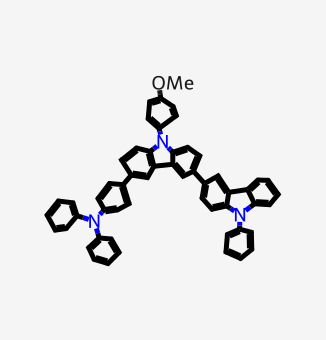 COc1ccc(-n2c3ccc(-c4ccc(N(c5ccccc5)c5ccccc5)cc4)cc3c3cc(-c4ccc5c(c4)c4ccccc4n5-c4ccccc4)ccc32)cc1